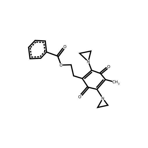 CC1=C(N2CC2)C(=O)C(CCOC(=O)c2ccccc2)=C(N2CC2)C1=O